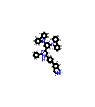 C1=Cc2cc(-c3ccc(C4=CC(c5cc(-n6c7ccccc7c7ccccc76)cc(-n6c7ccccc7c7ccccc76)c5)=NC(c5ccccc5)N4)cc3)ccc2CN1